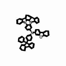 c1ccc(C2(c3ccc(N(c4ccc5c(c4)oc4ccccc45)c4ccc5c(c4)n4c6ccccc6c6ccc7c8ccccc8n5c7c64)cc3)c3ccccc3-c3ccccc32)cc1